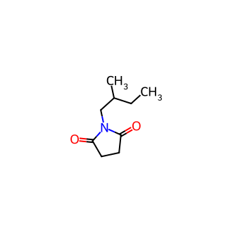 CCC(C)CN1C(=O)CCC1=O